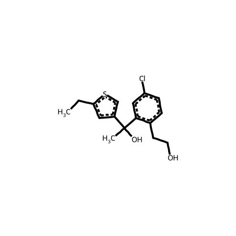 CCc1cc(C(C)(O)c2cc(Cl)ccc2CCO)cs1